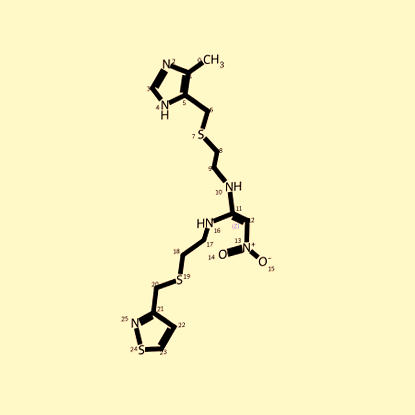 Cc1nc[nH]c1CSCCN/C(=C/[N+](=O)[O-])NCCSCc1ccsn1